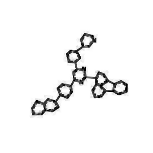 c1cncc(-c2cccc(-c3cc(-c4ccc(-c5ccc6ccccc6c5)cc4)nc(-c4ccc5c6c(cccc46)-c4ccccc4-5)n3)c2)c1